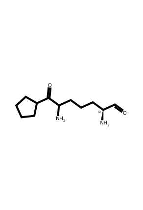 NC(CCC[C@H](N)[C]=O)C(=O)C1CCCC1